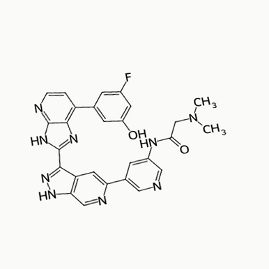 CN(C)CC(=O)Nc1cncc(-c2cc3c(-c4nc5c(-c6cc(O)cc(F)c6)ccnc5[nH]4)n[nH]c3cn2)c1